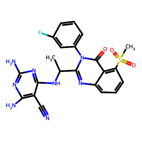 CC(Nc1nc(N)nc(N)c1C#N)c1nc2cccc(S(C)(=O)=O)c2c(=O)n1-c1cccc(F)c1